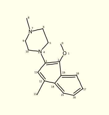 COc1c(N2CCN(C)CC2)cc(C)c2ccccc12